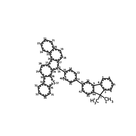 CC1(C)c2ccccc2-c2cc(-c3ccc(-n4c5ccc6ccccc6c5c5ccc6c7ccccc7sc6c54)nc3)ccc21